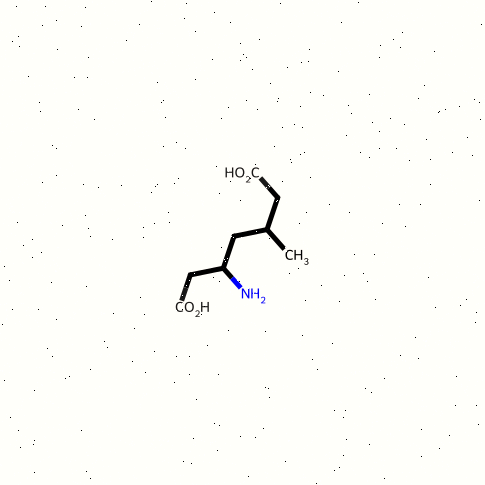 CC(CC(=O)O)CC(N)CC(=O)O